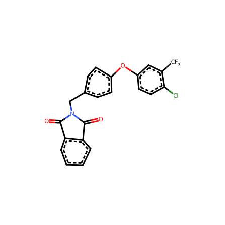 O=C1c2ccccc2C(=O)N1Cc1ccc(Oc2ccc(Cl)c(C(F)(F)F)c2)cc1